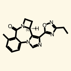 CCc1noc(-c2ncn3c2[C@@H]2CCN2C(=O)c2c(C)cccc2-3)n1